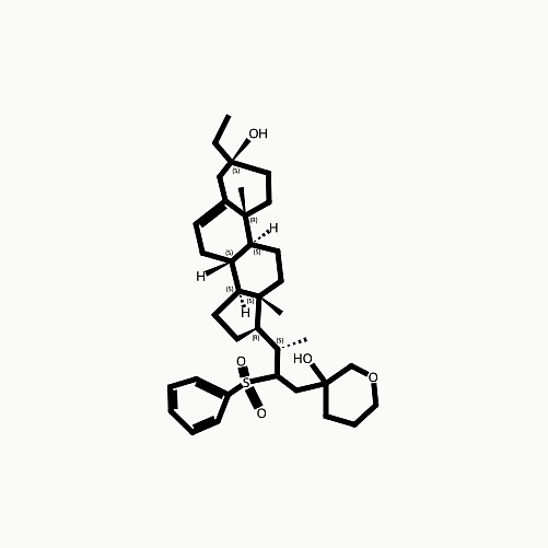 CC[C@]1(O)CC[C@@]2(C)C(=CC[C@H]3[C@@H]4CC[C@H]([C@H](C)C(CC5(O)CCCOC5)S(=O)(=O)c5ccccc5)[C@@]4(C)CC[C@@H]32)C1